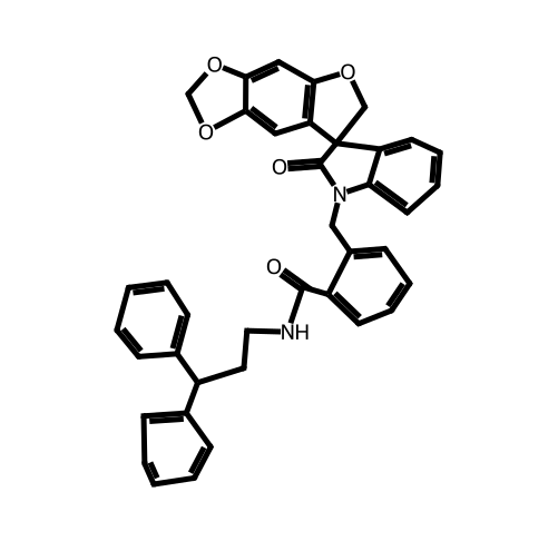 O=C(NCCC(c1ccccc1)c1ccccc1)c1ccccc1CN1C(=O)C2(COc3cc4c(cc32)OCO4)c2ccccc21